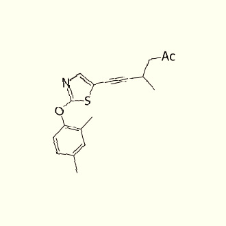 CC(=O)CC(C)C#Cc1cnc(Oc2ccc(C)cc2C)s1